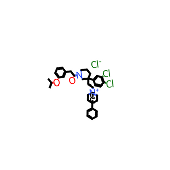 CC(C)Oc1cccc(CC(=O)N2CCCC(CC[N+]34CCC(c5ccccc5)(CC3)CC4)(c3ccc(Cl)c(Cl)c3)C2)c1.[Cl-]